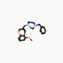 COc1cccc2c1CC(CN1CCN(Cc3ccccc3)CC1)CO2